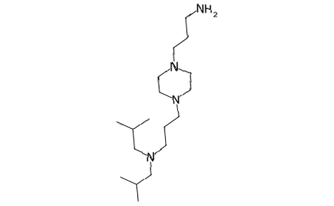 CC(C)CN(CCCN1CCN(CCCN)CC1)CC(C)C